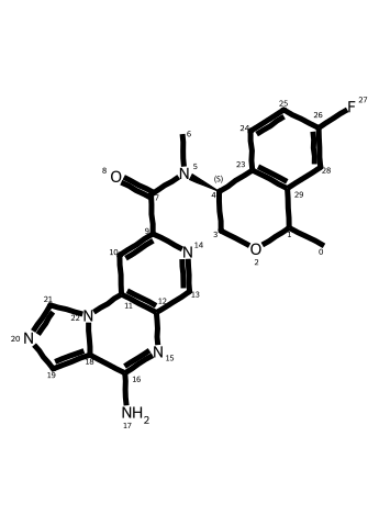 CC1OC[C@@H](N(C)C(=O)c2cc3c(cn2)nc(N)c2cncn23)c2ccc(F)cc21